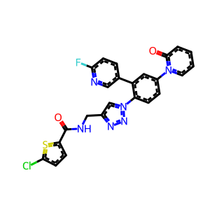 O=C(NCc1cn(-c2ccc(-n3ccccc3=O)cc2-c2ccc(F)nc2)nn1)c1ccc(Cl)s1